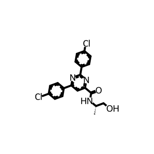 C[C@@H](CO)NC(=O)c1cc(-c2ccc(Cl)cc2)nc(-c2ccc(Cl)cc2)n1